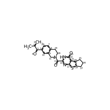 C=C(C)C(=O)c1ccc2c(c1)CN(C(=O)c1nc3sc4c(c3c(=O)[nH]1)CCC4)CC2